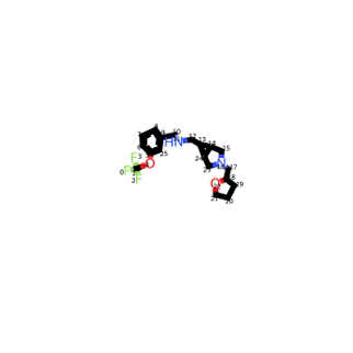 FC(F)(F)Oc1cccc(CNCC2C3CN(CC4CCCO4)CC23)c1